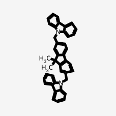 CC1(C)c2cc(Cn3c4ccccc4c4ccccc43)ccc2-c2ccc(Cn3c4ccccc4c4ccccc43)cc21